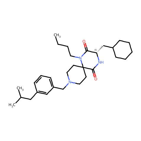 CCCCN1C(=O)[C@H](CC2CCCCC2)NC(=O)C12CCN(Cc1cccc(CC(C)C)c1)CC2